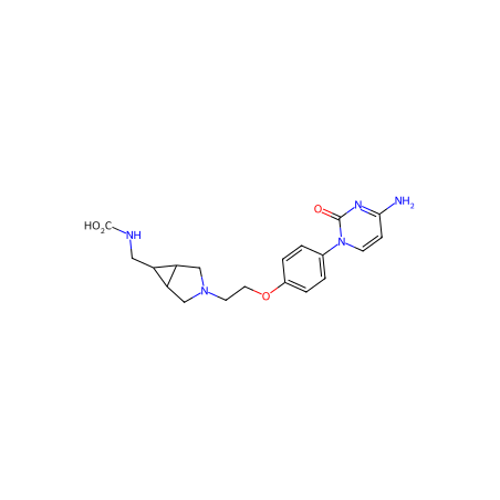 Nc1ccn(-c2ccc(OCCN3CC4C(CNC(=O)O)C4C3)cc2)c(=O)n1